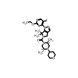 CCOc1ncc(F)c(-n2ncc3c2C(C)(C)N(C(=O)N2C[C@@H](C)N(C4CCOCC4)C[C@@H]2C)C3)n1